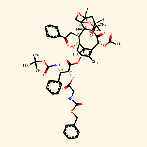 CC(=O)O[C@H]1C(=O)[C@]23C[C@H]2C[C@H]2OC[C@@]2(OC(C)=O)[C@H]3[C@H](CC(=O)c2ccccc2)[C@]2(O)C[C@H](OC(=O)[C@H](OC(=O)CNC(=O)OCc3ccccc3)[C@@H](NC(=O)OC(C)(C)C)c3ccccc3)C(C)=C1C2(C)C